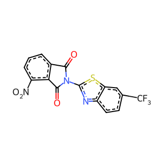 O=C1c2cccc([N+](=O)[O-])c2C(=O)N1c1nc2ccc(C(F)(F)F)cc2s1